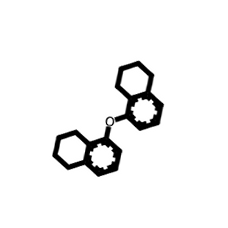 c1cc2c(c(Oc3cccc4c3CCCC4)c1)CCCC2